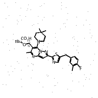 Cc1cc(Cc2cnc(-c3cc4nc(C)c([C@H](OC(C)(C)C)C(=O)O)c(N5CCC(C)(C)CC5)n4n3)s2)ccc1F